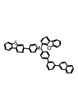 c1cc(-c2ccc(N(c3ccc(-c4ccc5c(c4)sc4ccccc45)cc3)c3cccc4c3oc3ccccc34)cc2)cc(-c2ccc3ccccc3c2)c1